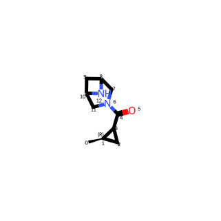 C[C@@H]1CC1C(=O)N1CC2CC(C1)N2